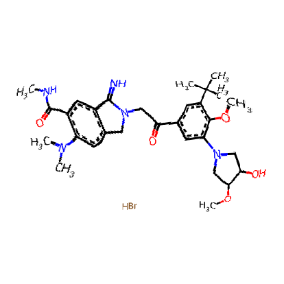 Br.CNC(=O)c1cc2c(cc1N(C)C)CN(CC(=O)c1cc(N3CC(O)C(OC)C3)c(OC)c(C(C)(C)C)c1)C2=N